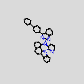 c1ccc(-c2ccc(-c3nc(-n4c5cccc6ccc7c8ccccc8n(c8ncccc84)c7c65)nc4ccccc34)cc2)cc1